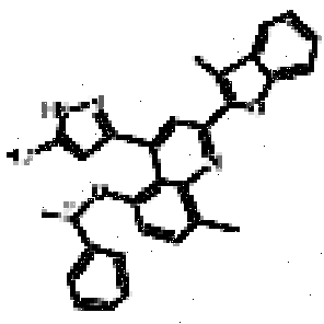 Cc1c(-c2cc(-c3cc(O)[nH]n3)c3c(O[C@H](C)c4ccccc4)ccc(C)c3n2)oc2ccccc12